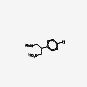 CNCC(CS(=O)(=O)O)c1ccc(Cl)cc1